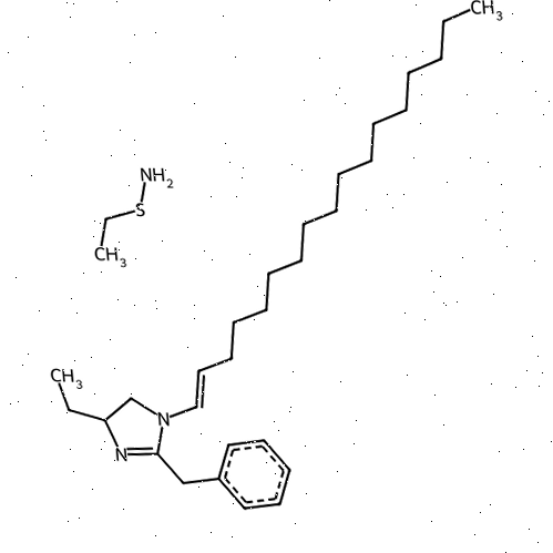 CCCCCCCCCCCCCCCC=CN1CC(CC)N=C1Cc1ccccc1.CCSN